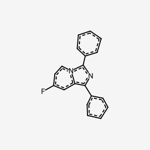 Fc1ccn2c(-c3ccccc3)nc(-c3ccccc3)c2c1